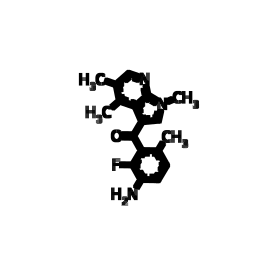 Cc1ccc(N)c(F)c1C(=O)c1cn(C)c2ncc(C)c(C)c12